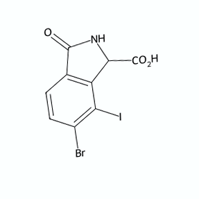 O=C1NC(C(=O)O)c2c1ccc(Br)c2I